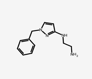 NCCNc1ccn(Cc2ccccc2)n1